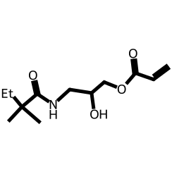 C=CC(=O)OCC(O)CNC(=O)C(C)(C)CC